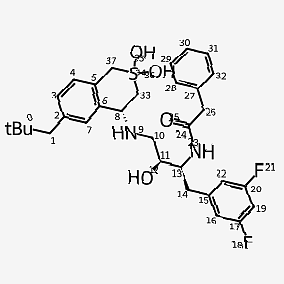 CC(C)(C)Cc1ccc2c(c1)[C@@H](NC[C@H](O)[C@H](Cc1cc(F)cc(F)c1)NC(=O)Cc1ccccc1)CS(O)(O)C2